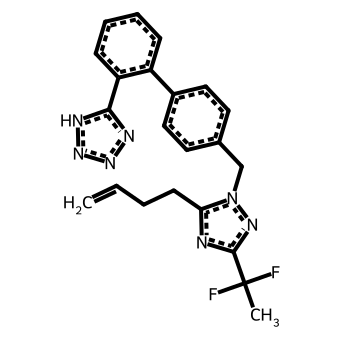 C=CCCc1nc(C(C)(F)F)nn1Cc1ccc(-c2ccccc2-c2nnn[nH]2)cc1